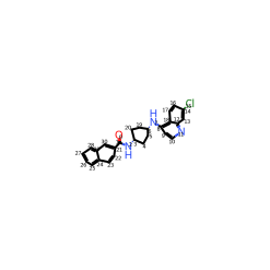 O=C(N[C@H]1CC[C@@H](Nc2ccnc3cc(Cl)ccc23)CC1)c1ccc2ccccc2c1